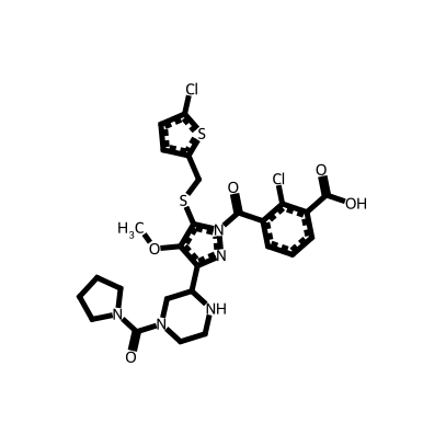 COc1c(C2CN(C(=O)N3CCCC3)CCN2)nn(C(=O)c2cccc(C(=O)O)c2Cl)c1SCc1ccc(Cl)s1